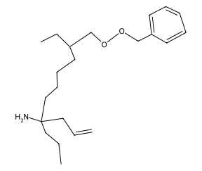 C=CCC(N)(CCC)CCCCC(CC)COOCc1ccccc1